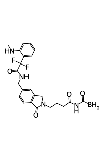 BC(=O)NC(=O)CCCN1Cc2cc(CNC(=O)C(F)(F)c3ccccc3NC)ccc2C1=O